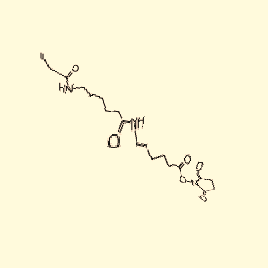 O=C(CI)NCCCCCC(=O)NCCCCCC(=O)ON1C(=O)CCC1=O